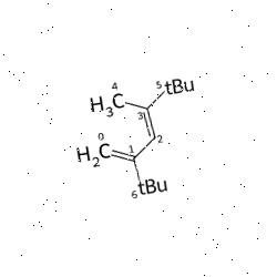 C=C(C=C(C)C(C)(C)C)C(C)(C)C